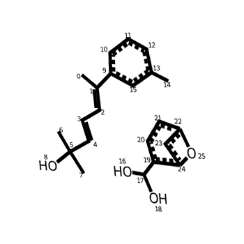 CC(=CC=CC(C)(C)O)c1cccc(C)c1.OC(O)c1ccc2cc1O2